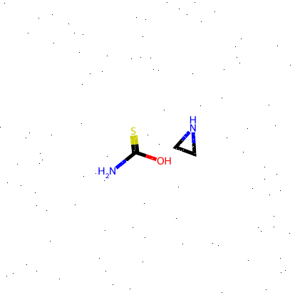 C1CN1.NC(O)=S